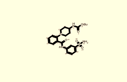 CC(C)COC(=O)NC1CCN(c2ccccc2C(=O)Nc2cccc(S(N)(=O)=O)c2)CC1